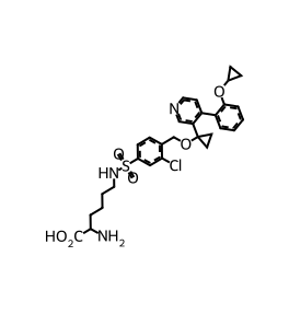 NC(CCCCNS(=O)(=O)c1ccc(COC2(c3cnccc3-c3ccccc3OC3CC3)CC2)c(Cl)c1)C(=O)O